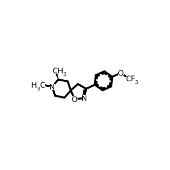 C[C@H]1CC2(CCN1C)CC(c1ccc(OC(F)(F)F)cc1)=NO2